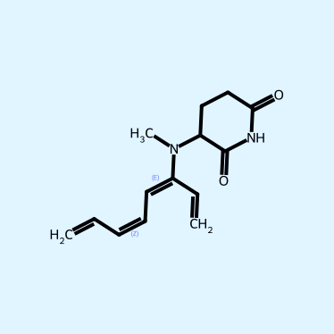 C=C/C=C\C=C(/C=C)N(C)C1CCC(=O)NC1=O